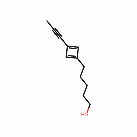 CC#CC1=CC(CCCCCO)=C1